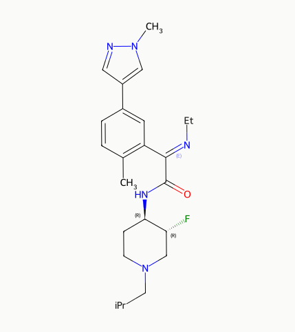 CC/N=C(/C(=O)N[C@@H]1CCN(CC(C)C)C[C@H]1F)c1cc(-c2cnn(C)c2)ccc1C